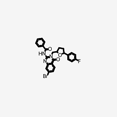 O=C(Nc1nc2cc(Br)ccc2c(=O)n1CC1CCC(c2ccc(F)cc2)O1)c1ccccc1